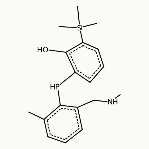 CNCc1cccc(C)c1Pc1cccc([Si](C)(C)C)c1O